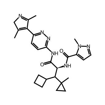 CC1=NCC(C)=C1c1ccc(NC(=O)[C@@H](NC(=O)c2ccnn2C)C(C2CCC2)C2(C)CC2)nn1